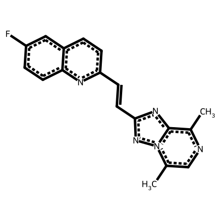 Cc1ncc(C)n2nc(C=Cc3ccc4cc(F)ccc4n3)nc12